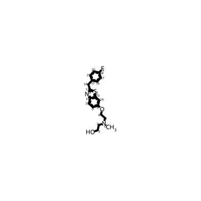 CN(CCO)CCOc1ccc2nc(Cc3ccc(F)cc3)sc2c1